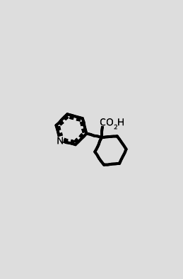 O=C(O)C1(c2cccnc2)CCCCC1